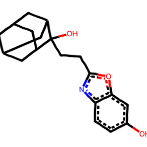 Oc1ccc2nc(CCC3(O)C4CC5CC(C4)CC3C5)oc2c1